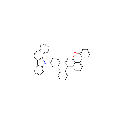 c1cc(-c2ccccc2-c2ccc3c4c(cccc24)-c2ccccc2O3)cc(-n2c3ccccc3c3ccc4ccccc4c32)c1